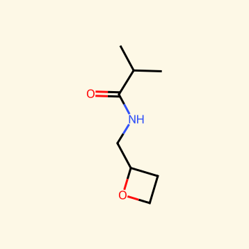 CC(C)C(=O)NCC1CCO1